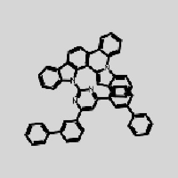 c1ccc(-c2cccc(-c3cc(-c4cccc(-c5ccccc5)c4)nc(-n4c5ccccc5c5ccc6c7ccccc7n7c8ccccc8cc7c6c54)n3)c2)cc1